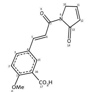 COc1ccc(C=CC(=O)N2CC=CC2=O)cc1C(=O)O